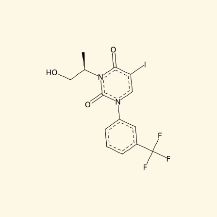 C[C@H](CO)n1c(=O)c(I)cn(-c2cccc(C(F)(F)F)c2)c1=O